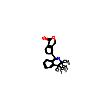 CC1(C)N=C(c2ccc3c(c2)COC3=O)c2ccccc2C1(C)C